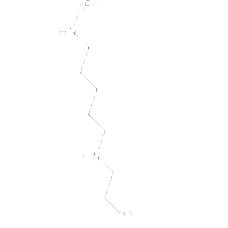 CC(C)CCNCCCCCNC(C)(C)C